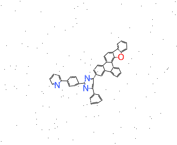 c1ccc(-c2cc(-c3ccc4c(c3)c3ccccc3c3c4ccc4c5ccccc5oc43)nc(-c3ccc(-c4ccccn4)cc3)n2)cc1